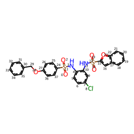 O=S(=O)(Nc1ccc(Cl)cc1NS(=O)(=O)c1cc2ccccc2o1)c1ccc(OCc2ccccc2)cc1